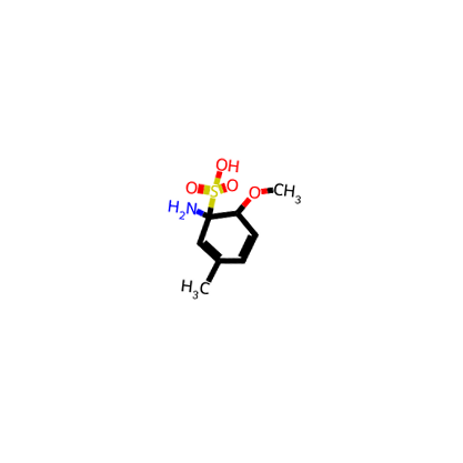 COC1C=CC(C)=CC1(N)S(=O)(=O)O